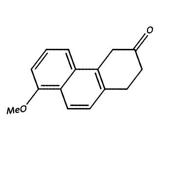 COc1cccc2c3c(ccc12)CCC(=O)C3